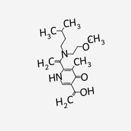 C=C(O)c1c[nH]c(C(=C)N(CCOC)CCC(C)C)c(C)c1=O